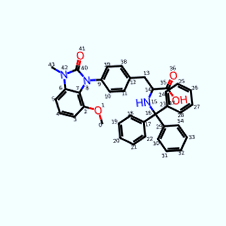 COc1cccc2c1n(-c1ccc(CC(NC(c3ccccc3)(c3ccccc3)c3ccccc3)C(=O)O)cc1)c(=O)n2C